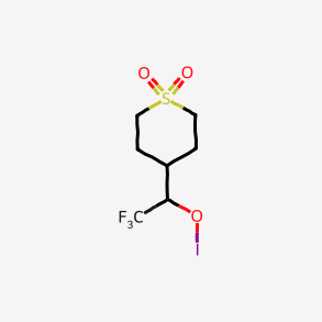 O=S1(=O)CCC(C(OI)C(F)(F)F)CC1